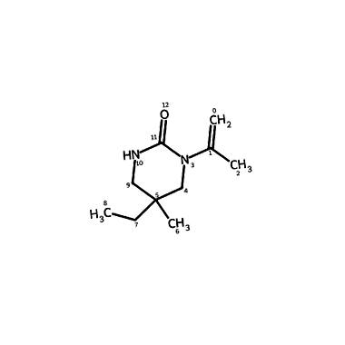 C=C(C)N1CC(C)(CC)CNC1=O